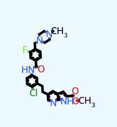 COC(=O)c1cc2cc(CCc3cc(NC(=O)c4ccc(CN5CCN(C)CC5)c(F)c4)ccc3Cl)cnc2[nH]1